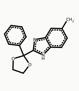 [CH2]c1ccc2[nH]c(C3(c4ccccc4)OCCO3)nc2c1